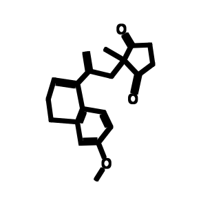 C=C(CC1(C)C(=O)CCC1=O)C1=CCCc2cc(OC)ccc21